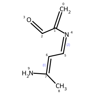 C=C(C=O)/N=C\C=C(/C)N